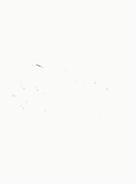 C[C@@H](Cc1ccc(Cl)cc1Cl)C[C@@H]([C@H](O)C(C)(C)C)N1CNC=N1